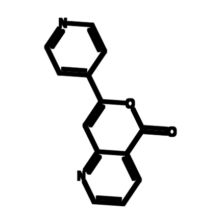 O=c1oc(-c2ccncc2)cc2ncccc12